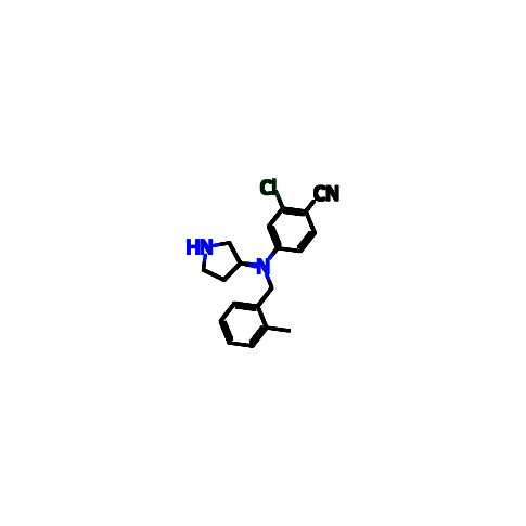 Cc1ccccc1CN(c1ccc(C#N)c(Cl)c1)[C@H]1CCNC1